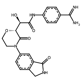 N=C(N)c1ccc(NC(=O)[C@H](O)[C@H]2OCCN(c3ccc4c(c3)C(=O)NC4)C2=O)cc1